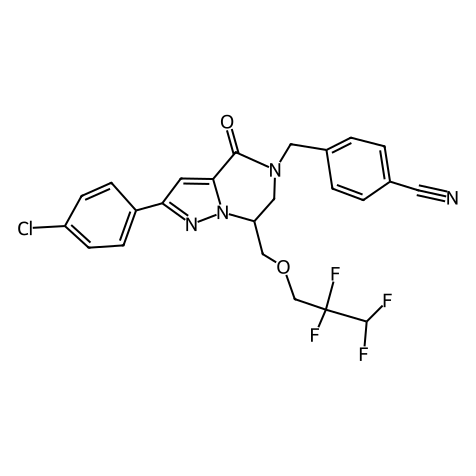 N#Cc1ccc(CN2CC(COCC(F)(F)C(F)F)n3nc(-c4ccc(Cl)cc4)cc3C2=O)cc1